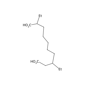 CCC(CCCCCC(CC)C(=O)O)CC(=O)O